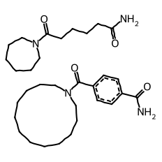 NC(=O)CCCCC(=O)N1CCCCCC1.NC(=O)c1ccc(C(=O)N2CCCCCCCCCCCC2)cc1